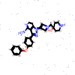 Nc1nccc2c1c(-c1ccc(Oc3ccccc3)cc1)nn2C1CN(CC2(O)CCNCC2)C1